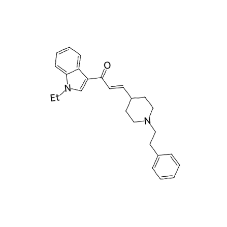 CCn1cc(C(=O)C=CC2CCN(CCc3ccccc3)CC2)c2ccccc21